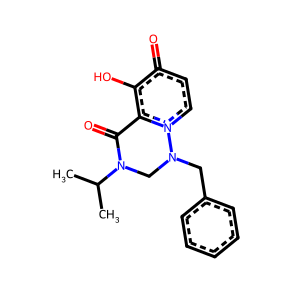 CC(C)N1CN(Cc2ccccc2)n2ccc(=O)c(O)c2C1=O